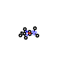 CC1(C)c2ccccc2-c2c1c1c3ccccc3n(-c3ccccc3)c1c1c2c2ccccc2n1-c1ccc(-c2nc(-c3ccccc3)nc(-c3ccccc3)n2)cc1